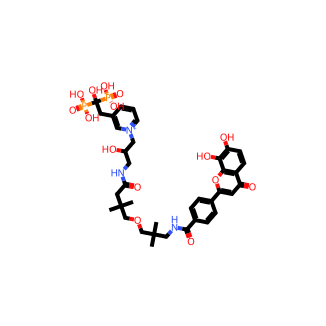 CC(C)(CNC(=O)c1ccc(-c2cc(=O)c3ccc(O)c(O)c3o2)cc1)COCC(C)(C)CC(=O)NCC(O)C[n+]1cccc(CC(O)(P(=O)(O)O)P(=O)(O)O)c1